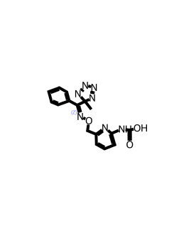 CC1(/C(=N\OCc2cccc(NC(=O)O)n2)c2ccccc2)N=NN=N1